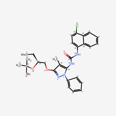 COC[C@@H](COc1nn(-c2ccccc2)c(NC(=O)Nc2ccc(Cl)c3ccccc23)c1C)O[Si](C)(C)C(C)(C)C